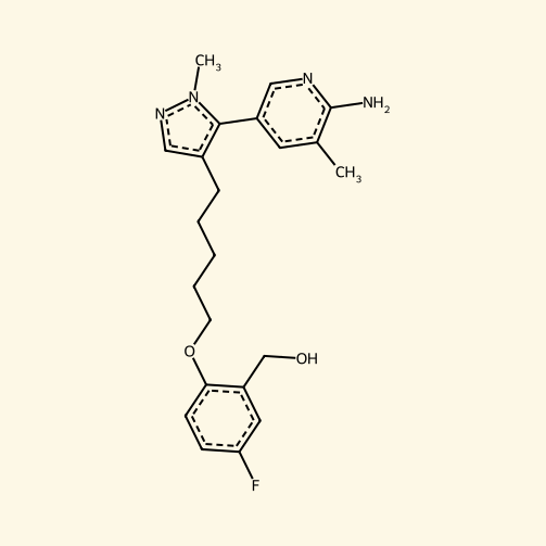 Cc1cc(-c2c(CCCCCOc3ccc(F)cc3CO)cnn2C)cnc1N